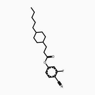 CCCCCC1CCC(CCC(=O)Oc2ccc(C#N)c(F)c2)CC1